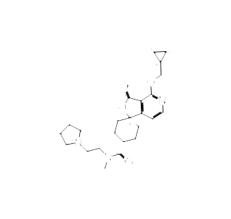 CN(CCN1CCCC1)C(=O)[C@H]1CC[C@@]2(CC1)OC(=O)c1c(OCC3CC3)nccc12